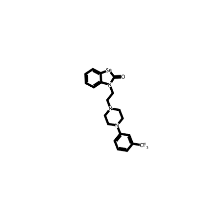 O=c1[se]c2ccccc2n1CCN1CCN(c2cccc(C(F)(F)F)c2)CC1